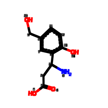 NC(CC(=O)O)c1cc(CO)ccc1O